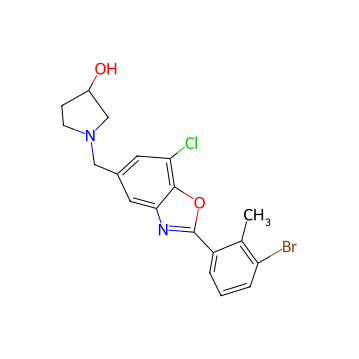 Cc1c(Br)cccc1-c1nc2cc(CN3CCC(O)C3)cc(Cl)c2o1